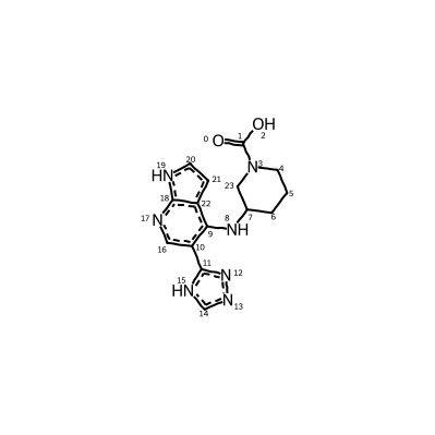 O=C(O)N1CCCC(Nc2c(-c3nnc[nH]3)cnc3[nH]ccc23)C1